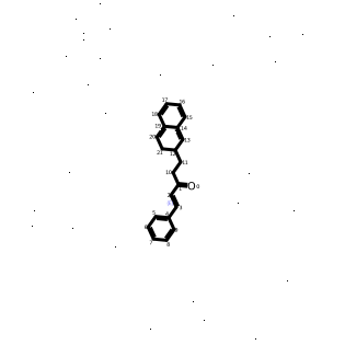 O=C(/C=C/c1ccccc1)CCC1C=c2ccccc2=CC1